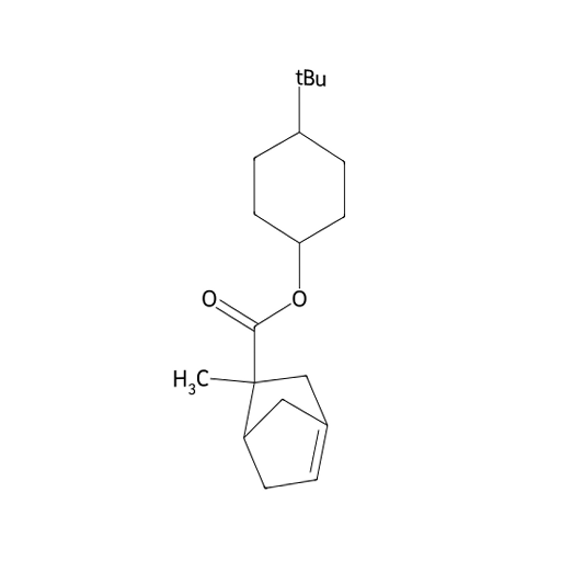 CC(C)(C)C1CCC(OC(=O)C2(C)CC3=CCC2C3)CC1